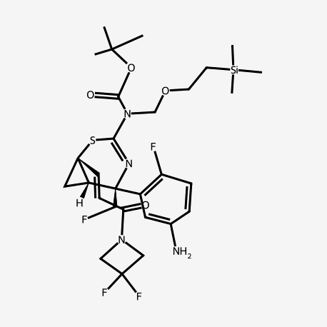 CC(C)(C)OC(=O)N(COCC[Si](C)(C)C)C1=N[C@](CF)(c2cc(N)ccc2F)[C@@H]2C[C@]2(/C=C/C(=O)N2CC(F)(F)C2)S1